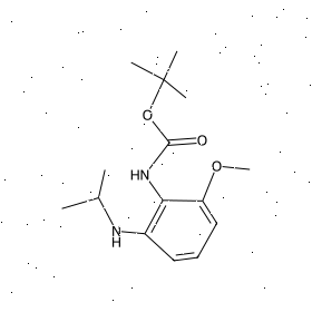 COc1cccc(NC(C)C)c1NC(=O)OC(C)(C)C